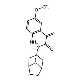 C=C(C(=O)NC1CC2CCC(C1)N2C)c1cc(OC(F)(F)F)ccc1N